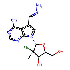 C[C@@]1(Cl)C(O)C(CO)O[C@H]1n1cc(/C=N/N)c2c(N)ncnc21